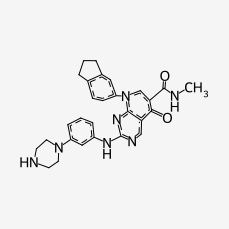 CNC(=O)c1cn(-c2ccc3c(c2)CCC3)c2nc(Nc3cccc(N4CCNCC4)c3)ncc2c1=O